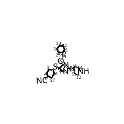 N#Cc1ccc(Sc2cnc(N3CCNCC3)nc2OCc2ccccc2)cc1